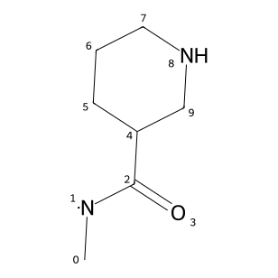 C[N]C(=O)C1CCCNC1